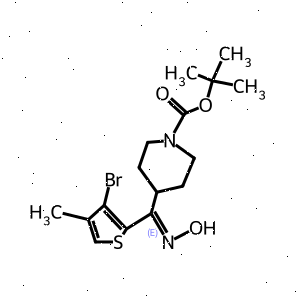 Cc1csc(/C(=N/O)C2CCN(C(=O)OC(C)(C)C)CC2)c1Br